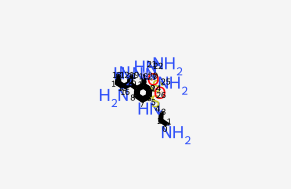 NCCCNSc1ccc(-c2cnccc2N)c(/C(N)=N/NN)c1S(N)(=O)=O